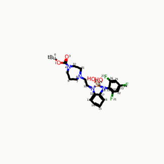 CC(C)(C)OC(=O)N1CCCN(CCN2c3ccccc3N(c3c(F)cc(F)cc3F)S2(O)O)CC1